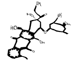 Cc1cccc2c1C(=O)c1c(O)c3c(c(O)c1C2=O)C[C@@](O)(C(=O)CO)CC3OC1CC(C)C(O)C(N)C1